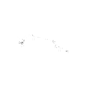 Cc1ncsc1-c1ccc(CNC(=O)C2CCCN2C(=O)C(c2cc(OCCOCCOCCOCCOCCNC(=O)c3ccc(-c4ccc5c(c4)C(=O)N(C(C(=O)Nc4nccs4)c4cc(F)ccc4O)C5)cc3)no2)C(C)C)cc1